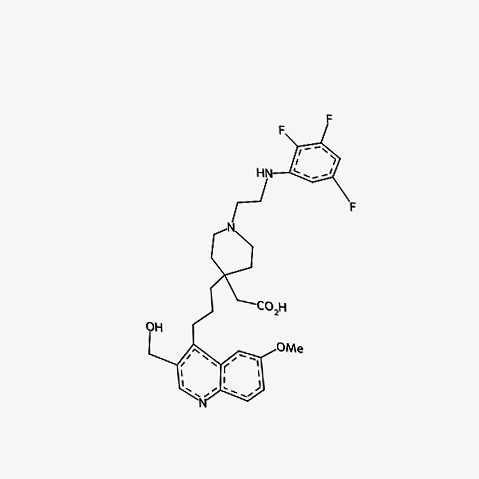 COc1ccc2ncc(CO)c(CCCC3(CC(=O)O)CCN(CCNc4cc(F)cc(F)c4F)CC3)c2c1